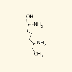 CCC(N)CCCC(N)CO